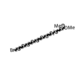 COC(COCCOCCOCCOCCOCCOCCOCCOCCOCCOCCBr)OC